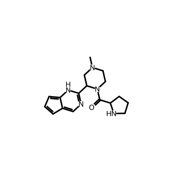 CN1CCN(C(=O)C2CCCN2)C(c2ncc3cccc-3[nH]2)C1